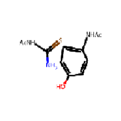 CC(=O)NC(N)=S.CC(=O)Nc1ccc(O)cc1